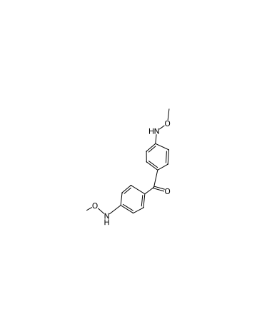 CONc1ccc(C(=O)c2ccc(NOC)cc2)cc1